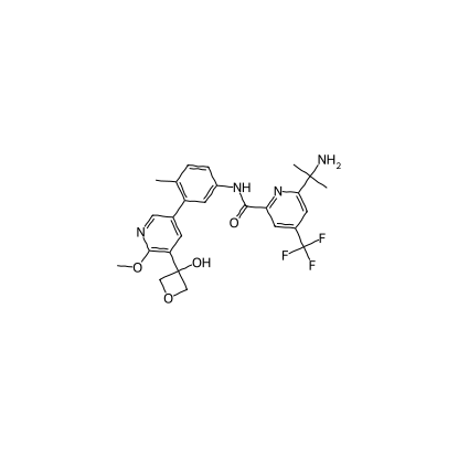 COc1ncc(-c2cc(NC(=O)c3cc(C(F)(F)F)cc(C(C)(C)N)n3)ccc2C)cc1C1(O)COC1